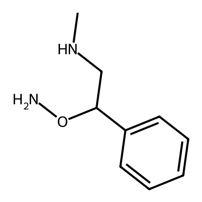 CNCC(ON)c1ccccc1